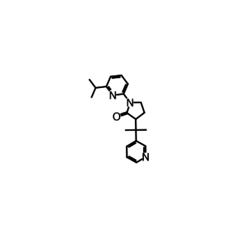 CC(C)c1cccc(N2CCC(C(C)(C)c3cccnc3)C2=O)n1